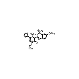 COc1ccc2c(c1)S(=O)(=O)NC(c1c(O)c(-c3cccs3)nn(CCC(C)(C)C)c1=O)=N2